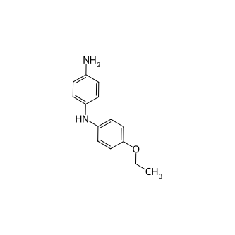 CCOc1ccc(Nc2ccc(N)cc2)cc1